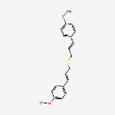 COc1ccc(C=CCSCC=Cc2ccc(OC)cc2)cc1